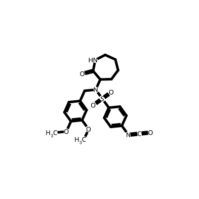 COc1ccc(CN(C2CCCCNC2=O)S(=O)(=O)c2ccc(N=C=O)cc2)cc1OC